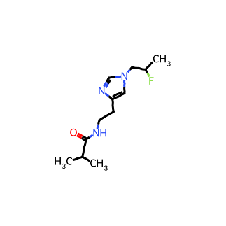 CC(F)Cn1cnc(CCNC(=O)C(C)C)c1